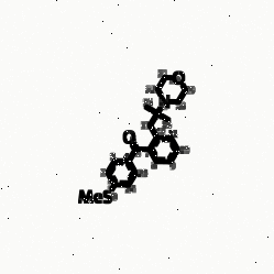 CSc1ccc(C(=O)c2ccccc2CC(C)(C)N2CCOCC2)cc1